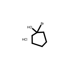 Cl.OC1(Br)CCCCC1